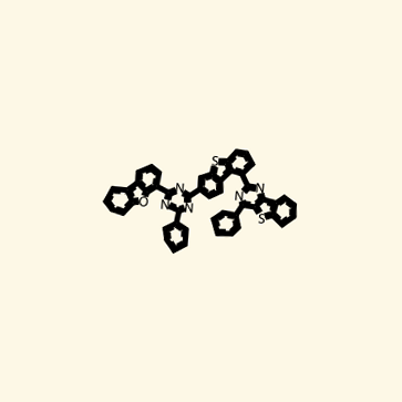 c1ccc(-c2nc(-c3ccc4c(c3)sc3cccc(-c5nc(-c6ccccc6)c6sc7ccccc7c6n5)c34)nc(-c3cccc4c3oc3ccccc34)n2)cc1